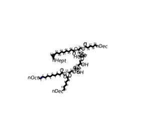 CCCCCCCC/C=C/CCCCCCCC(=O)OC[C@H](COP(=O)(O)OCC(O)COP(=O)(O)OC[C@@H](COC(=O)CCCCCCCCCCCCCC)OC(=O)CCCCCCCC1CC1CCCCCCC)OC(=O)CCCCCCCCCCCCCCC